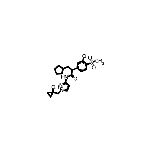 CS(=O)(=O)c1ccc(C(CC2CCCC2)C(=O)Nc2ccn(CC3(O)CC3)n2)cc1Cl